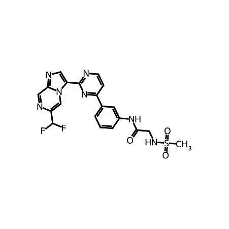 CS(=O)(=O)NCC(=O)Nc1cccc(-c2ccnc(-c3cnc4cnc(C(F)F)cn34)n2)c1